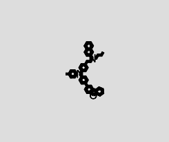 CCCCN(CCc1ccc(N(c2ccc(C)cc2)c2ccc(-c3ccc4oc5ccccc5c4c3)cc2)cc1)c1ccc2ccccc2c1